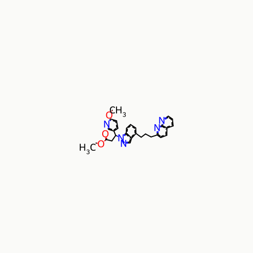 CCOC(=O)CC(c1ccc(OC)nc1)n1ncc2c(CCCc3ccc4cccnc4n3)cccc21